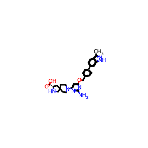 Cc1n[nH]c2cc(-c3ccc(COc4cc(N5CCC6(CC5)CN[C@H](C(=O)O)C6)nc(N)n4)cc3)ccc12